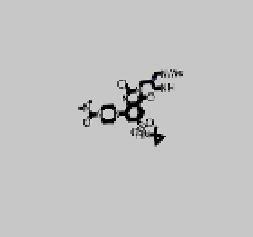 CN/C=C(\C=N)Cn1c(Cl)nc2c(N3CCN(C(=O)N(C)C)CC3)cc(S(=O)(=O)NC3(C)CC3)cc2c1=O